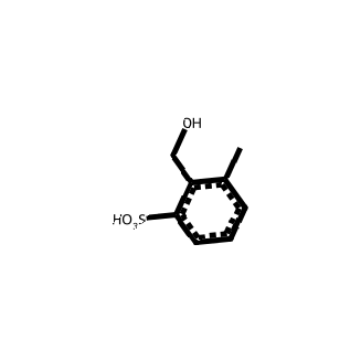 Cc1cccc(S(=O)(=O)O)c1CO